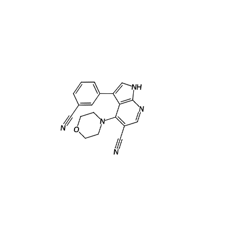 N#Cc1cccc(-c2c[nH]c3ncc(C#N)c(N4CCOCC4)c23)c1